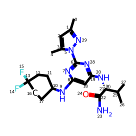 Cc1cc(C)n(-c2nc(NC3CCC(F)(F)CC3)cc(N[C@@H](C(N)=O)C(C)C)n2)n1